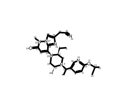 CC[C@H]1CN(C(C)c2ccc(OC(C)C)nc2)[C@H](I)CN1c1cc(=O)n(C)n2cc(CC#N)nc12